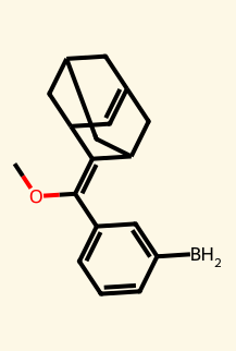 Bc1cccc(/C(OC)=C2/C3C=C4CC(C3)CC2C4)c1